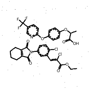 CC(Oc1ccc(Oc2ccc(C(F)(F)F)cn2)cc1)C(=O)O.CCOC(=O)/C(Cl)=C/c1cc(N2C(=O)C3=C(CCCC3)C2=O)ccc1Cl